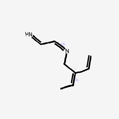 C=C/C(=C/C)C/N=C\C=N